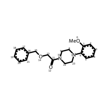 COc1ccccc1N1CCN(C(=O)COCc2ccccc2)CC1